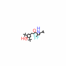 CC(C)(C)c1cc(CCC(=O)c2[nH]c(C3CC3)cc2C(F)(F)F)cc(C(C)(C)C)c1O